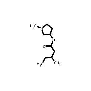 CCC(C)CC(=O)O[C@@H]1CCN(C)C1